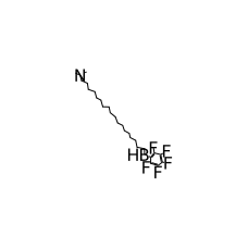 CN(C)CCCCCCCCCCCCCCCCCCBc1c(F)c(F)c(F)c(F)c1F